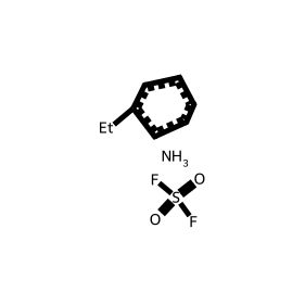 CCc1ccccc1.N.O=S(=O)(F)F